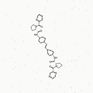 O=C(Nc1ccc(/C=C/c2ccc(NC(=O)[C@@H]3CCCN3C(=O)c3cnccn3)cc2)cc1)[C@@H]1CCCN1C(=O)c1cnccn1